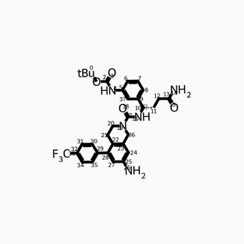 CC(C)(C)OC(=O)Nc1cccc([C@H](CCC(N)=O)NC(=O)N2CCc3c(cc(N)cc3-c3ccc(C(F)(F)F)cc3)C2)c1